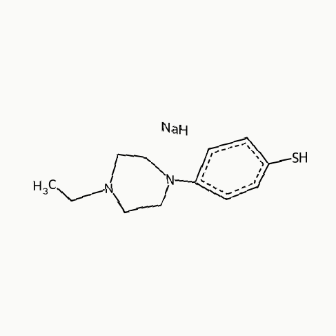 CCN1CCN(c2ccc(S)cc2)CC1.[NaH]